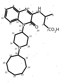 CC(CC(=O)O)Nc1nc2ccccc2n(C2CCN(C3CCCCCCC3)CC2)c1=O